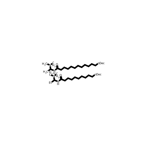 CCCCCCCCCCCCCCCCCCCC(=O)NC(CC)N(C)C.CCCCCCCCCCCCCCCCCCCCCC(=O)NC(C)N(C)C